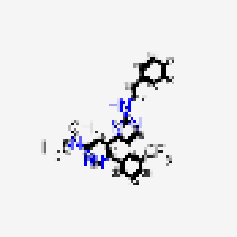 CN(C)c1cc(-c2ccnc(NCCc3ccccc3)n2)c(-c2cccc(C(F)(F)F)c2)nn1